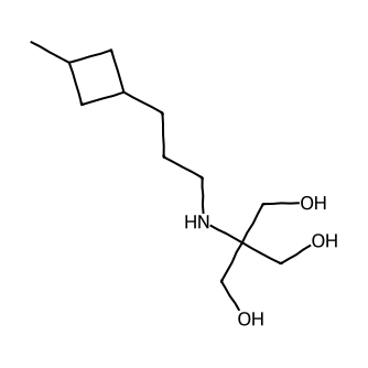 CC1CC(CCCNC(CO)(CO)CO)C1